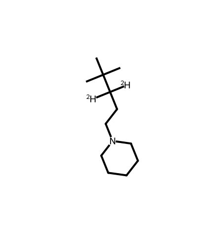 [2H]C([2H])(CCN1CCCCC1)C(C)(C)C